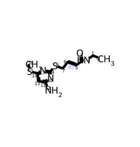 CCNC(=O)/C=C/CSc1nc(N)cc(SC)n1